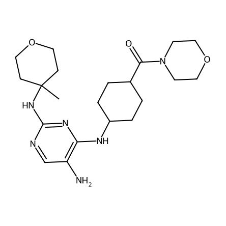 CC1(Nc2ncc(N)c(NC3CCC(C(=O)N4CCOCC4)CC3)n2)CCOCC1